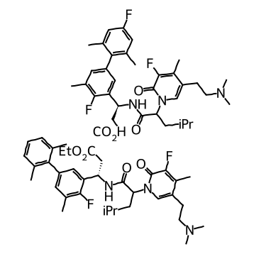 CCOC(=O)C[C@H](NC(=O)C(CC(C)C)n1cc(CCN(C)C)c(C)c(F)c1=O)c1cc(-c2c(C)cccc2C)cc(C)c1F.Cc1cc(-c2c(C)cc(F)cc2C)cc([C@H](CC(=O)O)NC(=O)C(CC(C)C)n2cc(CCN(C)C)c(C)c(F)c2=O)c1F